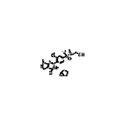 C1CC2CC2C1.COc1cc(S(=O)(=O)N(C)CCO)ccc1-c1nc2c(cnn2C)c(=O)[nH]1